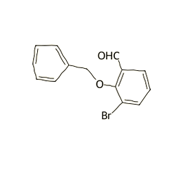 O=Cc1cccc(Br)c1OCc1ccccc1